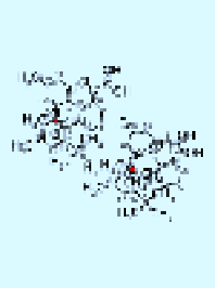 Cc1cc(Cl)c(-c2cccc(OP(O)O)c2-c2c(Cl)cc(C)cc2C(C)(C)C)c(C(C)(C)C)c1.Cc1cc(Cl)c(-c2cccc([PH](O)(O)O)c2-c2c(Cl)cc(C)cc2C(C)(C)C)c(C(C)(C)C)c1